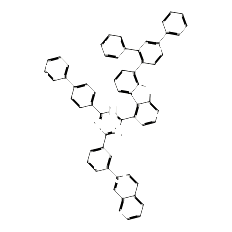 c1ccc(-c2ccc(-c3nc(-c4cccc(-c5ccc6ccccc6c5)c4)nc(-c4cccc5oc6c(-c7ccc(-c8ccccc8)cc7-c7ccccc7)cccc6c45)n3)cc2)cc1